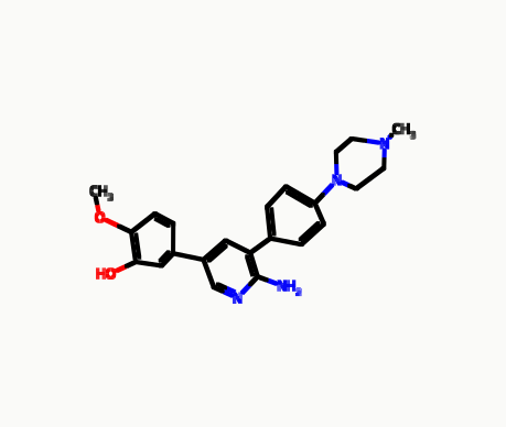 COc1ccc(-c2cnc(N)c(-c3ccc(N4CCN(C)CC4)cc3)c2)cc1O